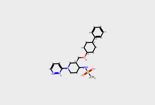 CS(=O)(=O)NC1CCN(c2cccnn2)C[C@H]1COC1CCC(c2ccccc2)CC1